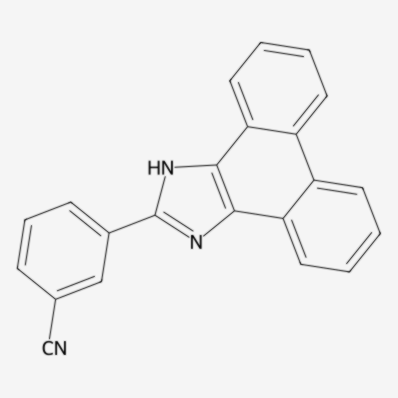 N#Cc1cccc(-c2nc3c4ccccc4c4ccccc4c3[nH]2)c1